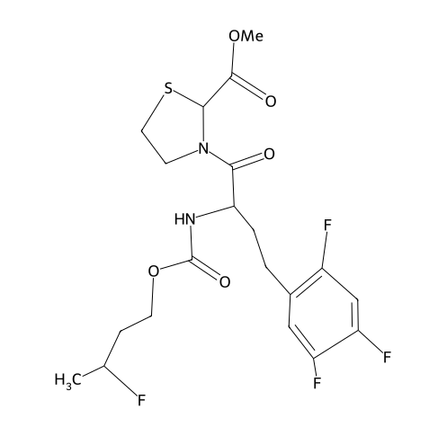 COC(=O)C1SCCN1C(=O)C(CCc1cc(F)c(F)cc1F)NC(=O)OCCC(C)F